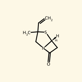 C=CC1(C)CN2C(=O)C[C@H]2S1